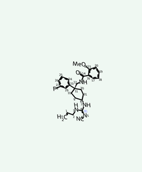 C=CCN/C(=N\C#N)N[C@H]1CC[C@](CNC(=O)c2ccccc2OC)(c2cccc(F)c2)CC1